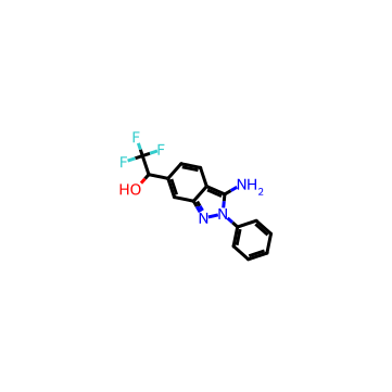 Nc1c2ccc(C(O)C(F)(F)F)cc2nn1-c1ccccc1